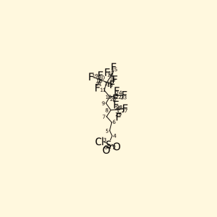 O=S(=O)(Cl)CCCCC(CC(CC(F)(C(F)(F)F)C(F)(F)F)C(F)(F)F)C(F)(F)F